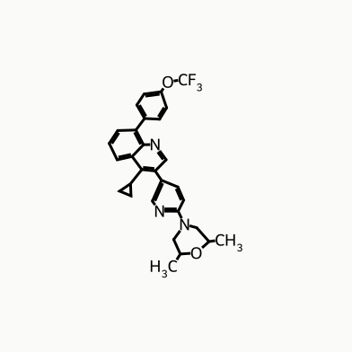 CC1CN(c2ccc(-c3cnc4c(-c5ccc(OC(F)(F)F)cc5)cccc4c3C3CC3)cn2)CC(C)O1